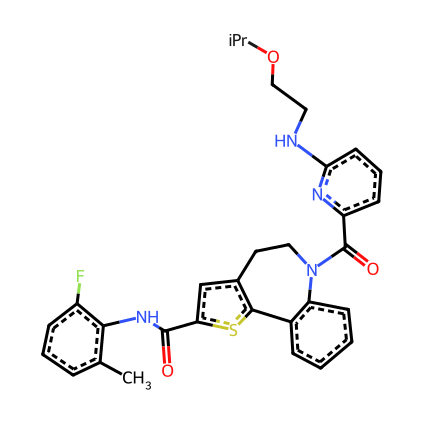 Cc1cccc(F)c1NC(=O)c1cc2c(s1)-c1ccccc1N(C(=O)c1cccc(NCCOC(C)C)n1)CC2